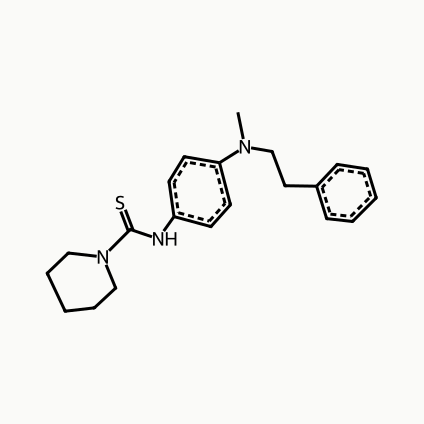 CN(CCc1ccccc1)c1ccc(NC(=S)N2CCCCC2)cc1